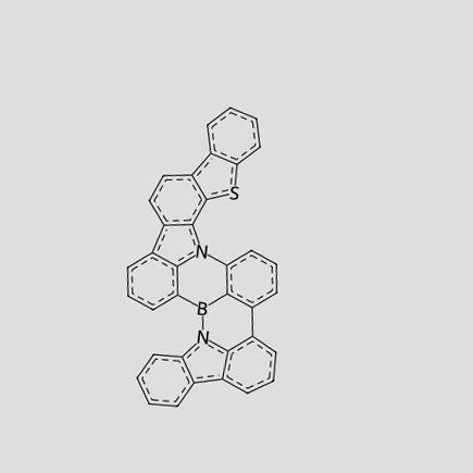 c1cc2c3c(c1)-n1c4c(cccc4c4ccc5c6ccccc6sc5c41)B3n1c3ccccc3c3cccc-2c31